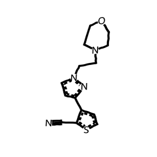 N#Cc1sccc1-c1ccn(CCN2CCOCC2)n1